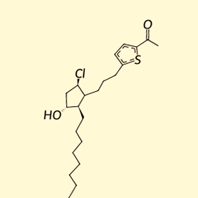 CCCCCCCC[C@@H]1C(CCCc2ccc(C(C)=O)s2)[C@H](Cl)C[C@H]1O